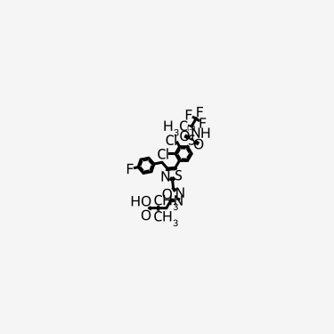 C[C@H](NS(=O)(=O)c1ccc(-c2sc(-c3nnc(CC(C)(C)C(=O)O)o3)nc2Cc2ccc(F)cc2)c(Cl)c1Cl)C(F)(F)F